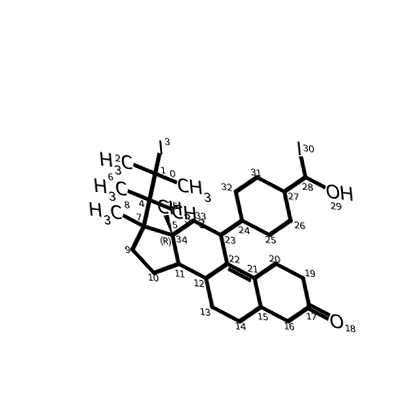 CC(C)(I)C(C)(C)C1(C)CCC2C3CCC4CC(=O)CCC4=C3C(C3CCC(C(O)I)CC3)C[C@]21C